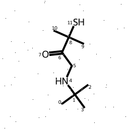 CC(C)(C)NCC(=O)C(C)(C)S